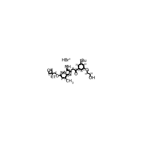 Br.CCC1(COc2cc(C)c3nn(CC(=O)c4cc(OCCO)cc(C(C)(C)C)c4)c(=N)n3n2)COC1